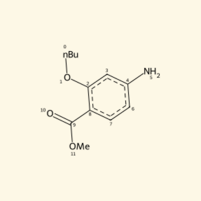 CCCCOc1cc(N)ccc1C(=O)OC